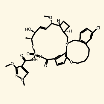 COc1nn(C)cc1C(=O)NS1(=O)=NC(=O)c2ccc3c(c2)N(Cc2ccc(Cl)cc2CCCCO3)C[C@@H]2CC[C@H]2[C@@H](OC)/C=C/[C@H](O)[C@H](C)C1